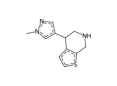 Cn1cc(C2CNCc3sccc32)cn1